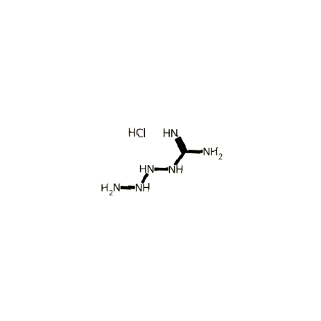 Cl.N=C(N)NNNN